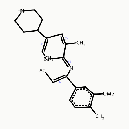 C\C=C(/C=C(C)\C(=N\C(=C/C(C)=O)c1ccc(C)c(OC)c1)C(C)CC)C1CCNCC1